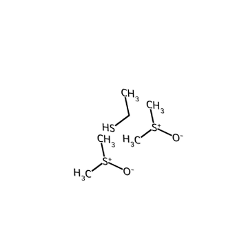 CCS.C[S+](C)[O-].C[S+](C)[O-]